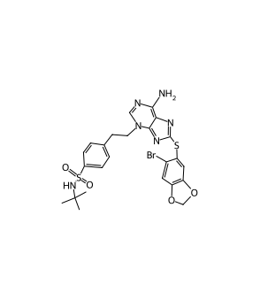 CC(C)(C)NS(=O)(=O)c1ccc(CCn2cnc(N)c3nc(Sc4cc5c(cc4Br)OCO5)nc2-3)cc1